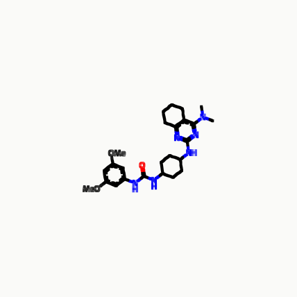 COc1cc(NC(=O)NC2CCC(Nc3nc4c(c(N(C)C)n3)CCCC4)CC2)cc(OC)c1